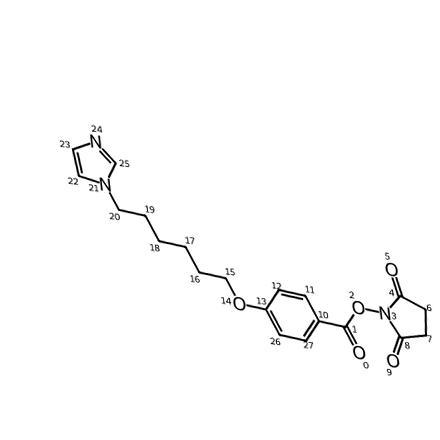 O=C(ON1C(=O)CCC1=O)c1ccc(OCCCCCCn2ccnc2)cc1